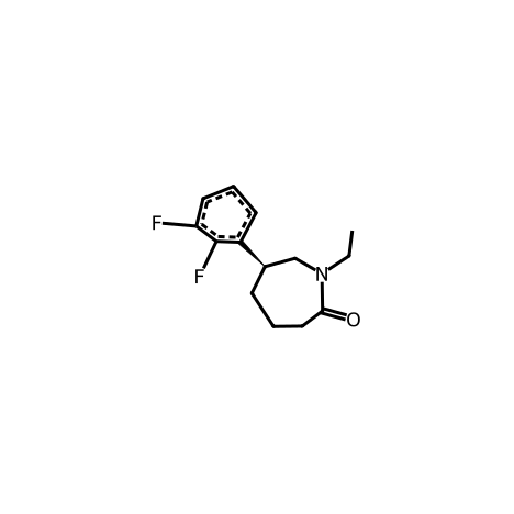 CCN1C[C@H](c2cccc(F)c2F)CCCC1=O